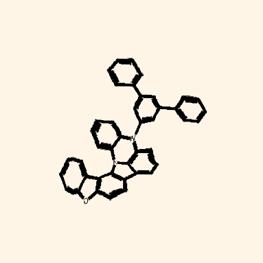 c1ccc(-c2cc(-c3ccccc3)cc(N3c4ccccc4-n4c5c3cccc5c3ccc5oc6ccccc6c5c34)c2)cc1